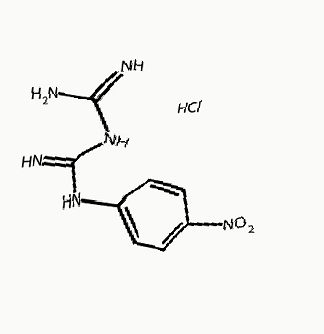 Cl.N=C(N)NC(=N)Nc1ccc([N+](=O)[O-])cc1